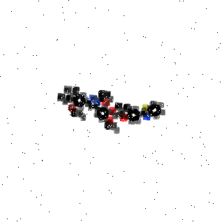 COc1ccc(C2CC(c3cc(C)c(C)c(OC)c3)=NN2C(C)=O)cc1OCCOc1ccc(-c2nc3ccccc3s2)cc1C